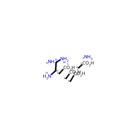 CC(=O)O.CC(=O)O.CC(=O)O.CC(=O)O.N.N.NCCN